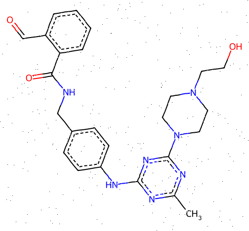 Cc1nc(Nc2ccc(CNC(=O)c3ccccc3C=O)cc2)nc(N2CCN(CCO)CC2)n1